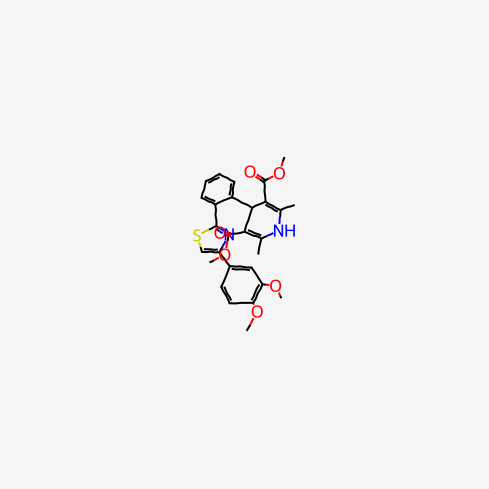 COC(=O)C1=C(C)NC(C)=C(C(=O)OC)C1c1ccccc1-c1nc(-c2ccc(OC)c(OC)c2)cs1